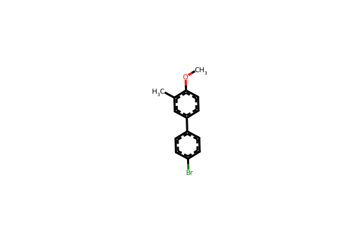 COc1ccc(-c2ccc(Br)cc2)cc1C